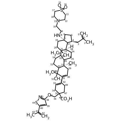 C=C(C)C[C@@H]1CC[C@]2(NCCN3CCS(=O)(=O)CC3)CC[C@]3(C)[C@H](CCC4[C@@]5(C)CC=C(C6=CCC(COc7cc(C(=C)C)sn7)(C(=O)O)CC6)C(C)(C)C5CC[C@]43C)C12